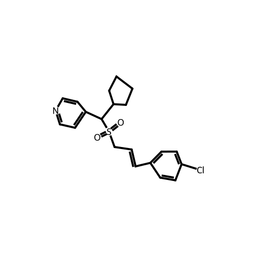 O=S(=O)(CC=Cc1ccc(Cl)cc1)C(c1ccncc1)C1CCCC1